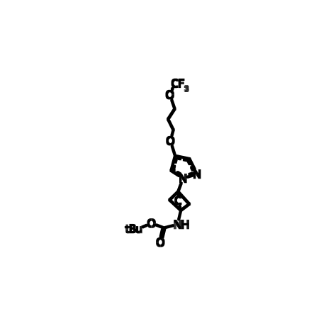 CC(C)(C)OC(=O)NC12CC(n3cc(OCCCOC(F)(F)F)cn3)(C1)C2